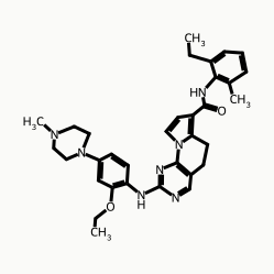 CCOc1cc(N2CCN(C)CC2)ccc1Nc1ncc2c(n1)-n1ccc(C(=O)Nc3c(C)cccc3CC)c1CC2